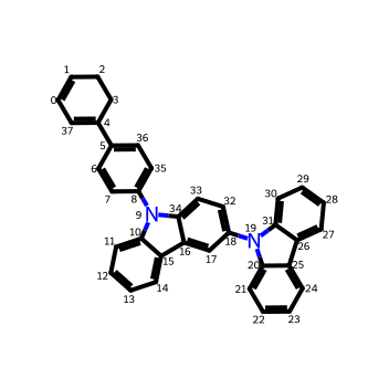 C1=CCCC(c2ccc(-n3c4ccccc4c4cc(-n5c6ccccc6c6ccccc65)ccc43)cc2)=C1